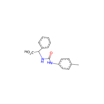 Cc1ccc(NC(=O)NC(C(=O)O)c2ccccc2)cc1